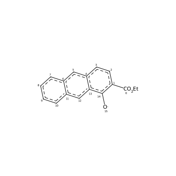 CCOC(=O)c1ccc2cc3ccccc3cc2c1[O]